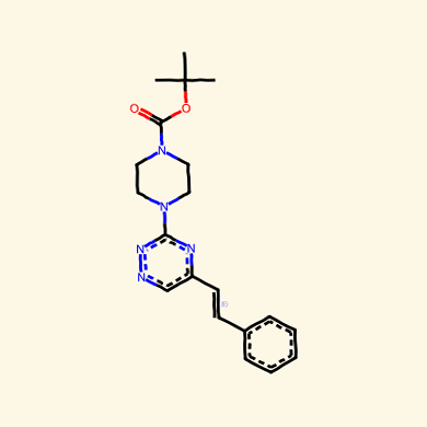 CC(C)(C)OC(=O)N1CCN(c2nncc(/C=C/c3ccccc3)n2)CC1